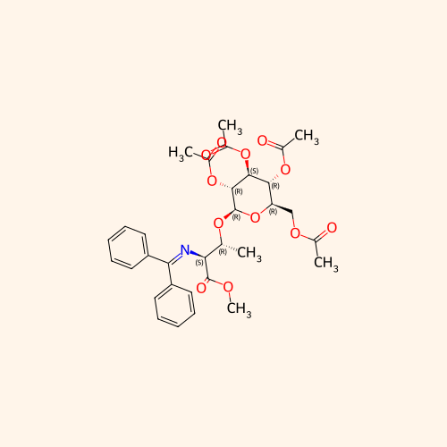 COC(=O)[C@@H](N=C(c1ccccc1)c1ccccc1)[C@@H](C)O[C@@H]1O[C@H](COC(C)=O)[C@@H](OC(C)=O)[C@H](OC(C)=O)[C@H]1OC(C)=O